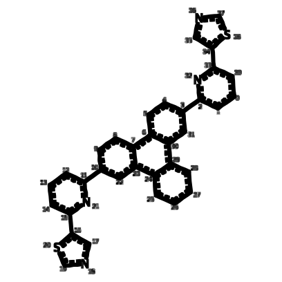 c1cc(-c2ccc3c4ccc(-c5cccc(-c6cncs6)n5)cc4c4ccccc4c3c2)nc(-c2cncs2)c1